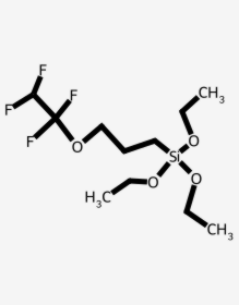 CCO[Si](CCCOC(F)(F)C(F)F)(OCC)OCC